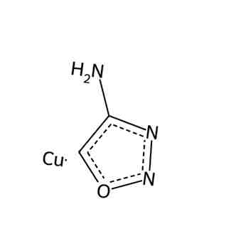 Nc1conn1.[Cu]